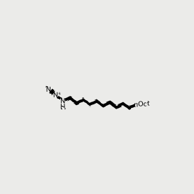 CCCCCCCCCCCCCCCCCCN[N+]#N